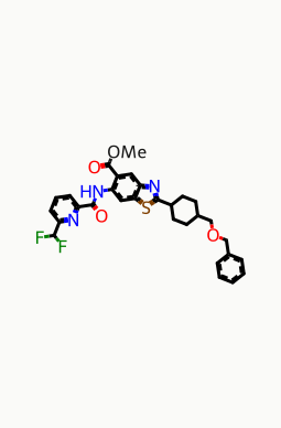 COC(=O)c1cc2nc(C3CCC(COCc4ccccc4)CC3)sc2cc1NC(=O)c1cccc(C(F)F)n1